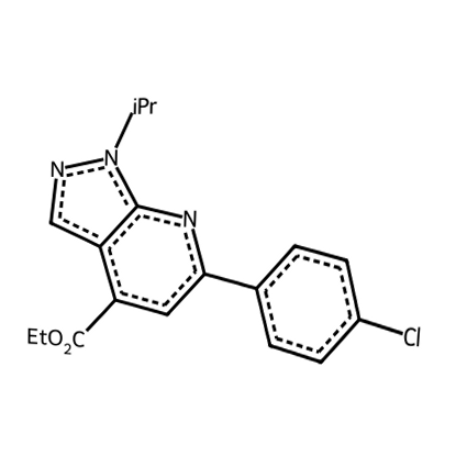 CCOC(=O)c1cc(-c2ccc(Cl)cc2)nc2c1cnn2C(C)C